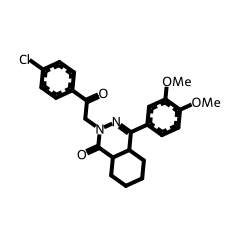 COc1ccc(C2=NN(CC(=O)c3ccc(Cl)cc3)C(=O)C3CCCCC23)cc1OC